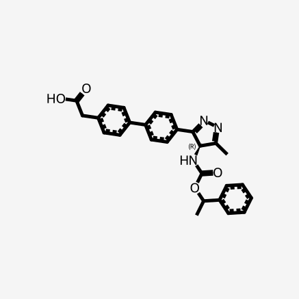 CC1=NN=C(c2ccc(-c3ccc(CC(=O)O)cc3)cc2)[C@@H]1NC(=O)OC(C)c1ccccc1